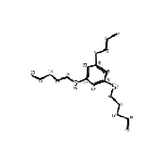 [CH2]CCCc1cc(SCCCCC)cc(SCCCCC)c1